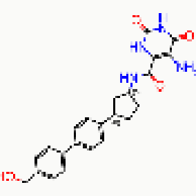 Nc1c(C(=O)N[C@H]2CC[C@@H](c3ccc(-c4ccc(CO)cc4)cc3)C2)[nH]c(=O)[nH]c1=O